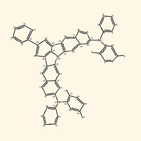 Cc1ccc(C)c(N(c2ccccc2)c2ccc3cc4c5cc(-c6ccccc6)cc6c7cc8ccc(N(c9ccccc9)c9cc(C)ccc9C)cc8cc7n(c4cc3c2)c56)c1